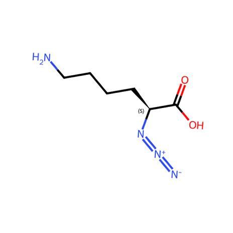 [N-]=[N+]=N[C@@H](CCCCN)C(=O)O